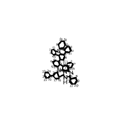 c1ccc(C2=NC(c3ccccc3)NC(c3ccc(-c4ccccc4)cc3-n3c4ccccc4c4c(-c5ccc(-c6ccccc6)c6c5c5ccccc5n6-c5ccccc5)cccc43)=N2)cc1